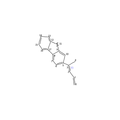 C=C/C=C(\C)c1ccc2c(c1)sc1ccccc12